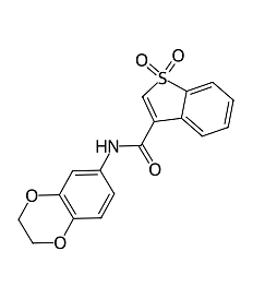 O=C(Nc1ccc2c(c1)OCCO2)C1=CS(=O)(=O)c2ccccc21